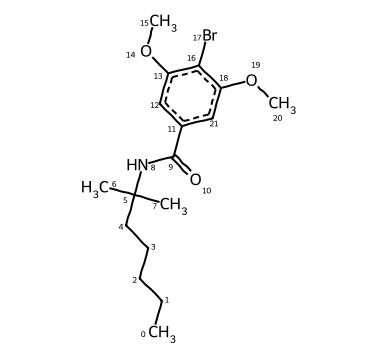 CCCCCC(C)(C)NC(=O)c1cc(OC)c(Br)c(OC)c1